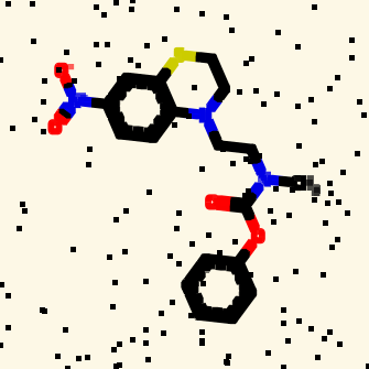 CN(CCN1CCSc2cc([N+](=O)[O-])ccc21)C(=O)Oc1ccccc1